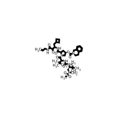 C=CCNC(=O)C(=O)C(CC1CCC1)NC(=O)C1C[C@@H](OC(=O)N2CCc3ccccc3C2)CN1C(=O)C(NC(=O)N[C@H](CN(C)S(C)(=O)=O)C(C)(C)C)C(C)(C)C